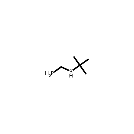 CC(C)(C)BCP